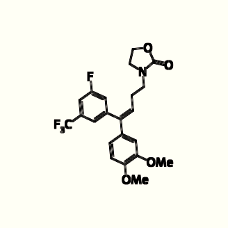 COc1ccc(C(=CCCN2CCOC2=O)c2cc(F)cc(C(F)(F)F)c2)cc1OC